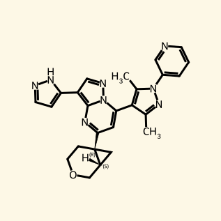 Cc1nn(-c2cccnc2)c(C)c1-c1cc([C@]23CCOC[C@H]2C3)nc2c(-c3ccn[nH]3)cnn12